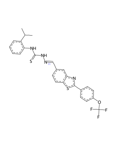 CC(C)c1ccccc1NC(=S)N/N=C/c1ccc2sc(-c3ccc(OC(F)(F)F)cc3)nc2c1